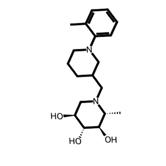 Cc1ccccc1N1CCCC(CN2C[C@H](O)[C@@H](O)[C@H](O)[C@H]2C)C1